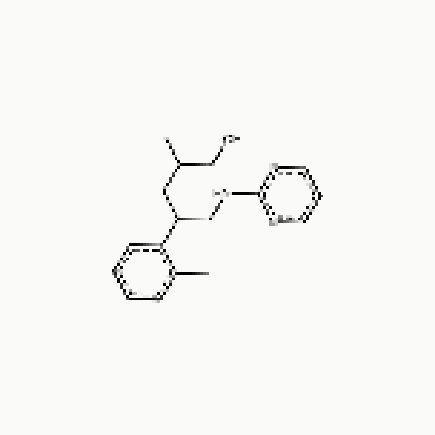 Cc1ccccc1C(CNc1ncccn1)CC(C)CO